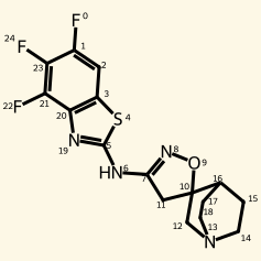 Fc1cc2sc(NC3=NOC4(C3)CN3CCC4CC3)nc2c(F)c1F